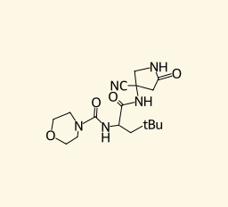 CC(C)(C)CC(NC(=O)N1CCOCC1)C(=O)NC1(C#N)CNC(=O)C1